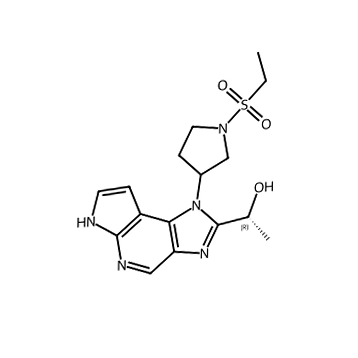 CCS(=O)(=O)N1CCC(n2c([C@@H](C)O)nc3cnc4[nH]ccc4c32)C1